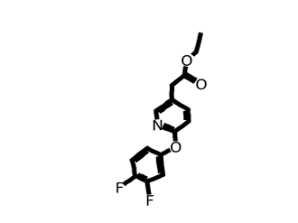 CCOC(=O)Cc1ccc(Oc2ccc(F)c(F)c2)nc1